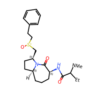 CCC(NC)C(=O)N[C@H]1CCC[C@H]2CC[C@@H](C[S+]([O-])CCc3ccccc3)N2C1=O